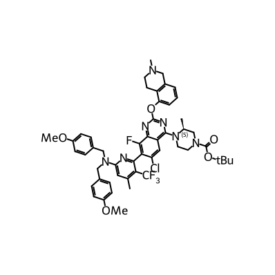 COc1ccc(CN(Cc2ccc(OC)cc2)c2cc(C)c(C(F)(F)F)c(-c3c(Cl)cc4c(N5CCN(C(=O)OC(C)(C)C)C[C@@H]5C)nc(Oc5cccc6c5CCN(C)C6)nc4c3F)n2)cc1